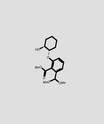 COC(=O)c1c(O[C@H]2CCCC[C@@H]2O)cccc1C(OC)OC